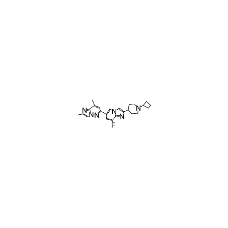 Cc1cn2nc(-c3cc(F)c4nc(C5CCN(C6CCC6)CC5)cn4c3)cc(C)c2n1